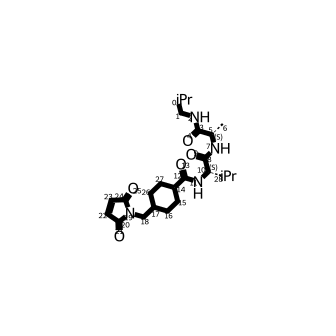 CC(C)CNC(=O)[C@H](C)NC(=O)[C@@H](NC(=O)C1CCC(CN2C(=O)C=CC2=O)CC1)C(C)C